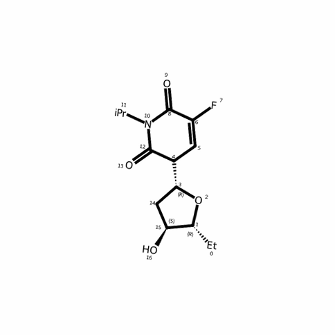 CC[C@H]1O[C@@H](C2C=C(F)C(=O)N(C(C)C)C2=O)C[C@@H]1O